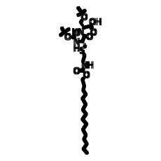 CCCCCCCCCCCCCCCCOC(=O)NCCSC[C@H](NC(=O)OC(C)(C)C)C(=O)N[C@@H](COC(C)(C)C)C(=O)O